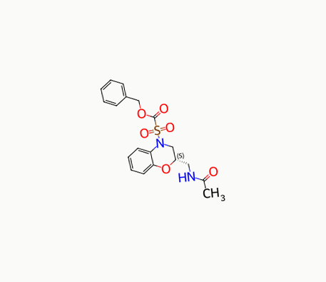 CC(=O)NC[C@H]1CN(S(=O)(=O)C(=O)OCc2ccccc2)c2ccccc2O1